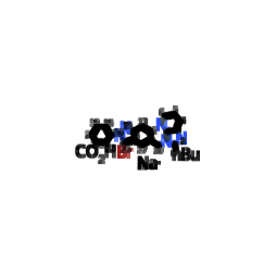 CCCCc1nc2cccnc2n1Cc1ccc2nn(-c3ccccc3C(=O)O)c(Br)c2c1.[Na]